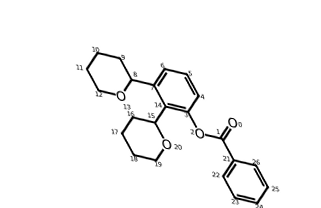 O=C(Oc1cccc(C2CCCCO2)c1C1CCCCO1)c1ccccc1